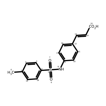 Cc1ccc(S(=O)(=O)Nc2ccc(C=CC(=O)O)cc2)cc1